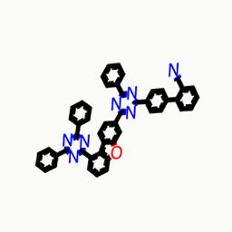 N#Cc1ccccc1-c1ccc(-c2nc(-c3ccccc3)nc(-c3ccc4c(c3)oc3cccc(-c5nc(-c6ccccc6)nc(-c6ccccc6)n5)c34)n2)cc1